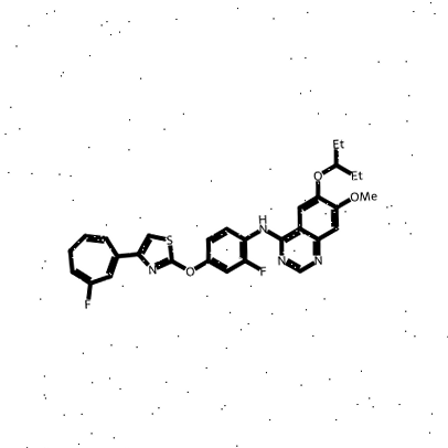 CCC(CC)Oc1cc2c(Nc3ccc(Oc4nc(C5=CC(F)=CCC=C5)cs4)cc3F)ncnc2cc1OC